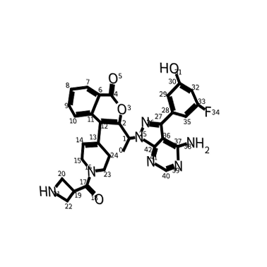 CC(c1oc(=O)c2ccccc2c1C1=CCN(C(=O)C2CNC2)CC1)n1nc(-c2cc(O)cc(F)c2)c2c(N)ncnc21